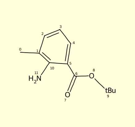 Cc1cccc(C(=O)OC(C)(C)C)c1N